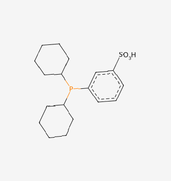 O=S(=O)(O)c1cccc(P(C2CCCCC2)C2CCCCC2)c1